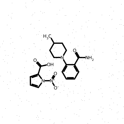 CC1CCN(c2ccccc2C(N)=O)CC1.O=C(O)c1cccn1[N+](=O)[O-]